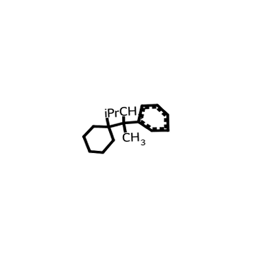 CC(C)C1(C(C)(C)c2ccccc2)CCCCC1